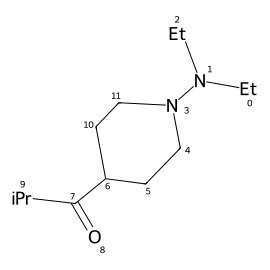 CCN(CC)N1CCC(C(=O)C(C)C)CC1